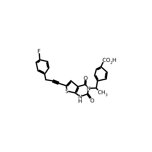 CC(c1ccc(C(=O)O)cc1)n1c(=O)[nH]c2sc(C#CCc3ccc(F)cc3)cc2c1=O